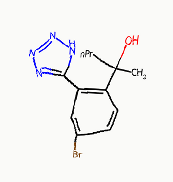 CCCC(C)(O)c1ccc(Br)cc1-c1nnn[nH]1